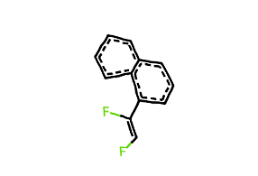 FC=C(F)c1cccc2ccccc12